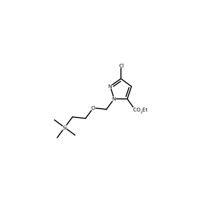 CCOC(=O)c1cc(Cl)nn1COCC[Si](C)(C)C